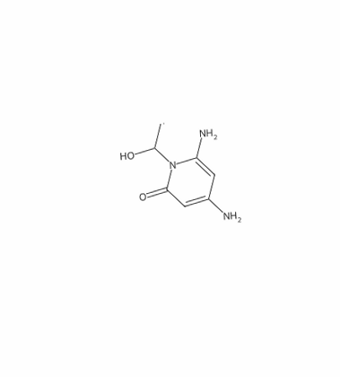 [CH2]C(O)n1c(N)cc(N)cc1=O